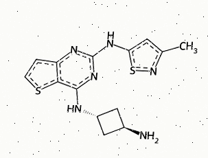 Cc1cc(Nc2nc(N[C@H]3C[C@H](N)C3)c3sccc3n2)sn1